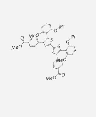 COC(=O)c1ccc(-c2cc(-c3cc(-c4ccc(C(=O)OC)cc4)c(-c4c(OC)cccc4OC(C)C)s3)sc2-c2c(OC)cccc2OC(C)C)cc1